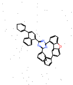 C1=CC(c2ccc(-c3nc(-c4ccccc4)nc(-c4cccc5oc6ccc(-c7ccccc7)cc6c45)n3)c3ccccc23)=CCC1